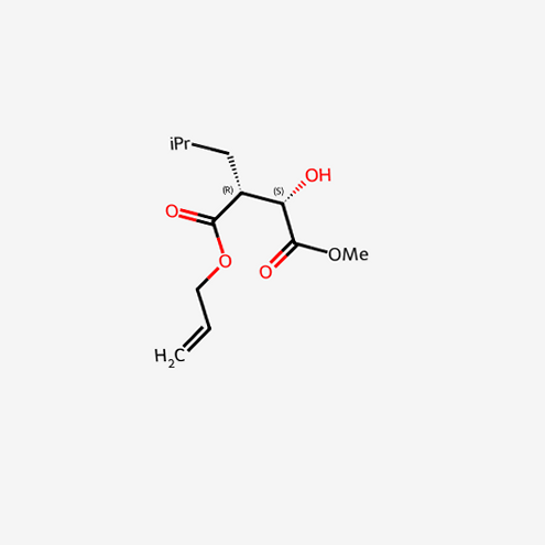 C=CCOC(=O)[C@H](CC(C)C)[C@H](O)C(=O)OC